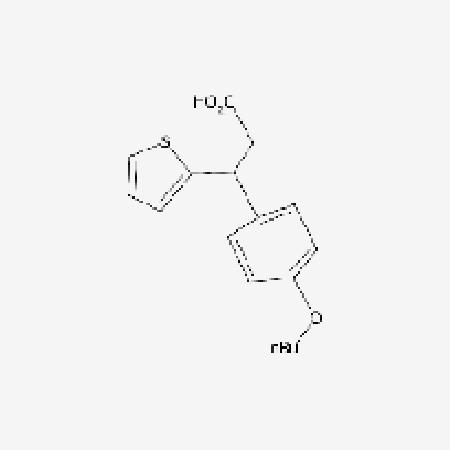 CCCCOc1ccc(C(CC(=O)O)c2cccs2)cc1